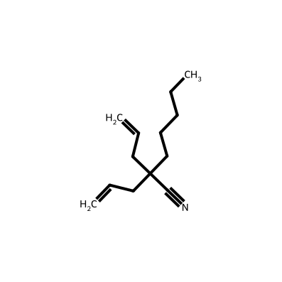 C=CCC(C#N)(CC=C)CCCCC